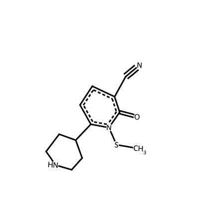 CSn1c(C2CCNCC2)ccc(C#N)c1=O